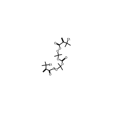 C=C(C(=O)OOC(C)(C)OC(=O)OC(C)(C)OOC(=O)C(=C)C(C)(C)CC)C(C)(C)CC